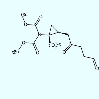 C=CCCC(=O)C[C@@H]1C[C@@]1(C(=O)OCC)N(C(=O)OC(C)(C)C)C(=O)OC(C)(C)C